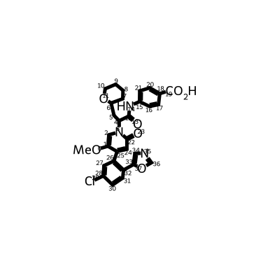 COc1cn(C(CC2CCCCO2)C(=O)Nc2ccc(C(=O)O)cc2)c(=O)cc1-c1cc(Cl)ccc1-c1cnco1